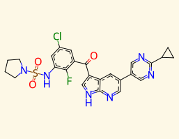 O=C(c1cc(Cl)cc(NS(=O)(=O)N2CCCC2)c1F)c1c[nH]c2ncc(-c3cnc(C4CC4)nc3)cc12